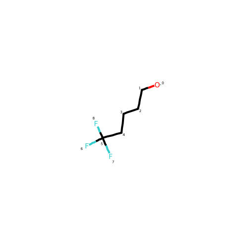 [O]CCCCC(F)(F)F